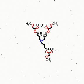 COCC(OC)O[SiH2]CCCN(CCC[SiH2]OC(COC)OC)CCC[SiH2]OC(COC)OC